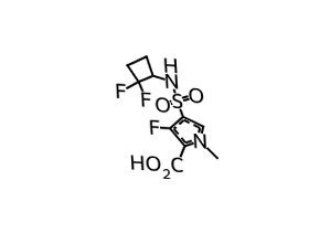 Cn1cc(S(=O)(=O)NC2CCC2(F)F)c(F)c1C(=O)O